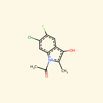 CC(=O)n1c(C)c(O)c2cc(F)c(Cl)cc21